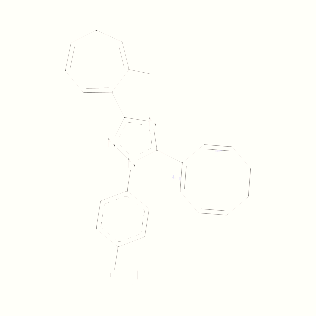 O=C(O)c1ccc(-n2nc(C3=CC=CCC=C3O)nc2C2=C/C=C\CC/C=C\2)cc1